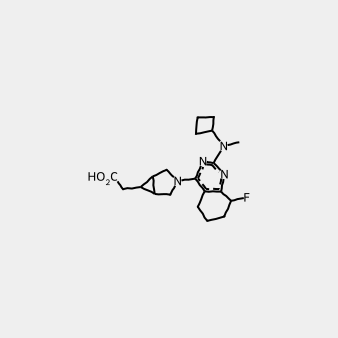 CN(c1nc2c(c(N3CC4C(CC(=O)O)C4C3)n1)CCCC2F)C1CCC1